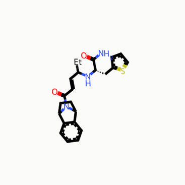 CCC(C=CC(=O)N1C2CCC1c1ccccc12)N[C@@H](Cc1cccs1)C(N)=O